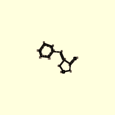 O=C1COC/C1=C\c1ccccc1